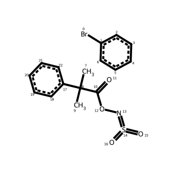 Brc1ccccc1.CC(C)(C(=O)ON=S(=O)=O)c1ccccc1